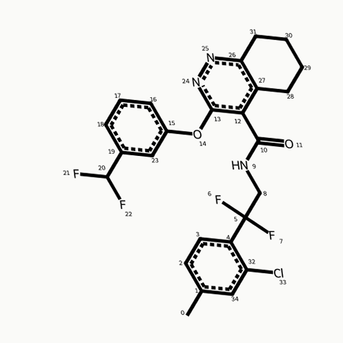 Cc1ccc(C(F)(F)CNC(=O)c2c(Oc3cccc(C(F)F)c3)nnc3c2CCCC3)c(Cl)c1